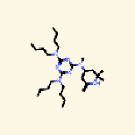 C=C1CC(N(C)c2nc(N(CCCC)CCCC)nc(N(CCCC)CCCC)n2)CC(C)(C)N1